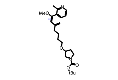 C=C(/C=C(/OC)c1cccnc1C)CCCCOC1CCN(C(=O)OC(C)(C)C)C1